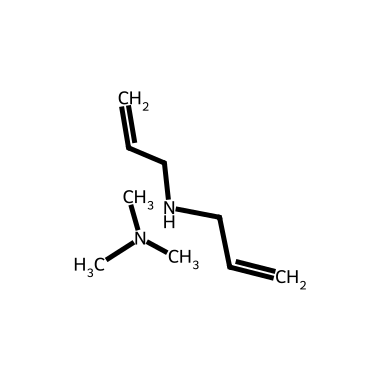 C=CCNCC=C.CN(C)C